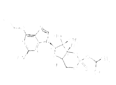 CCOc1nc(N)nc2c1ncn2[C@@H]1O[C@@H]2COP(=S)(OC(C)C)O[C@H]2[C@@]1(C)O